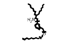 CCCCCCCCC(C)(C)CCOC(C)(C)Cc1cccc(C(C)(C)CC(N)C(CCCCCCC)CCCCCCC)c1